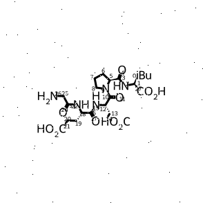 CC[C@H](C)[C@H](NC(=O)[C@@H]1CCCN1C(=O)[C@H](CC(=O)O)NC(=O)[C@H](CCC(=O)O)NC(=O)CN)C(=O)O